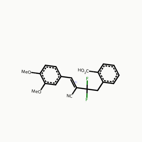 COc1ccc(/C=C(\C#N)C(F)(F)Cc2ccccc2C(=O)O)cc1OC